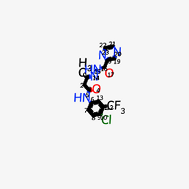 CC(CC(=O)Nc1ccc(Cl)c(C(F)(F)F)c1)=NNC(=O)c1cnccn1